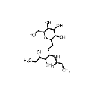 CCC(=O)N[C@@H](CCC1OC(CO)C(O)C(O)C1O)[C@@H](O)[C@H](O)CC